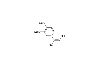 CSc1ccc(/C(C#N)=N\O)cc1SC